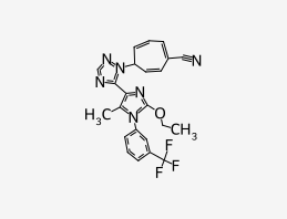 CCOc1nc(-c2ncnn2C2C=CC=C(C#N)C=C2)c(C)n1-c1cccc(C(F)(F)F)c1